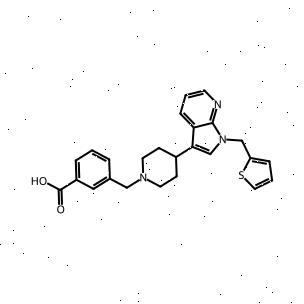 O=C(O)c1cccc(CN2CCC(c3cn(Cc4cccs4)c4ncccc34)CC2)c1